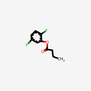 CCCC(=O)Oc1cc(F)ccc1F